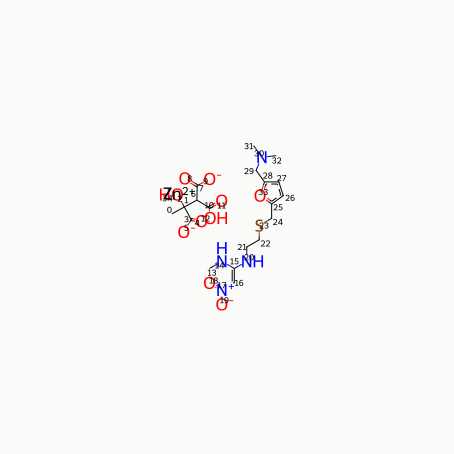 CC(O)(C(=O)[O-])C(C(=O)[O-])C(=O)O.CNC(=C[N+](=O)[O-])NCCSCc1ccc(CN(C)C)o1.[Zn+2]